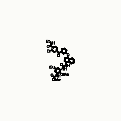 CCNC(=O)N1CCN(C(=O)c2cc(Oc3ccc(NC(=O)Nc4cc(C(C)(C)C)cc(NC(=O)OC)c4OC)c4ccccc34)ccn2)CC1CC